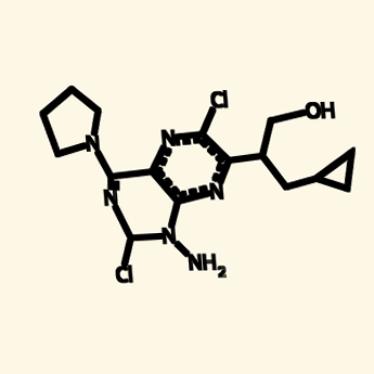 NN1c2nc(C(CO)CC3CC3)c(Cl)nc2C(N2CCCC2)=NC1Cl